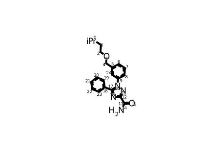 CC(C)CCOCc1cccc(-n2nc(C(N)=O)nc2-c2ccccc2)c1